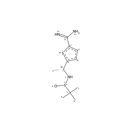 C[C@@H](N[S+]([O-])C(C)(C)C)c1ccc(C(=N)N)s1